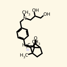 CN(Cc1ccc(/C=C2\C(=O)C3CCC2(C)C3(C)C)cc1)CC(O)CO